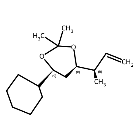 C=C[C@@H](C)[C@H]1C[C@@H](C2CCCCC2)OC(C)(C)O1